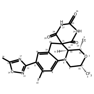 CC[C@@H]1O[C@H](C(F)(F)F)CN2c3cc(F)c(-c4noc(C)n4)cc3CC3(C(=O)NC(=O)NC3=O)[C@@H]12